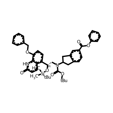 CC(C)(C)OC(=O)N(C[C@H](O[Si](C)(C)C(C)(C)C)c1ccc(OCc2ccccc2)c2[nH]c(=O)ccc12)C1Cc2ccc(C(=O)Oc3ccccc3)cc2C1